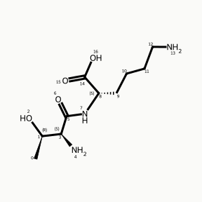 C[C@@H](O)[C@H](N)C(=O)N[C@@H](CCCCN)C(=O)O